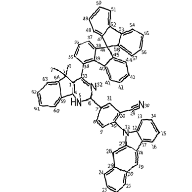 CC1(C)C2=C(NC(c3ccc(-n4c5ccccc5c5cc6ccccc6cc54)c(C#N)c3)N=C2c2cccc3c2-c2ccccc2C32c3ccccc3-c3ccccc32)c2ccccc21